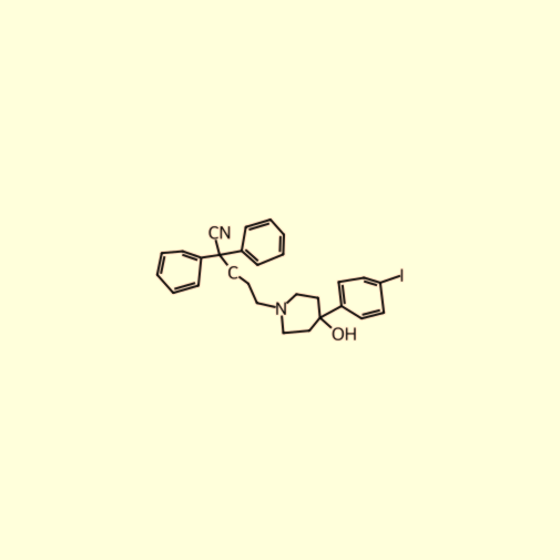 N#CC(CCCN1CCC(O)(c2ccc(I)cc2)CC1)(c1ccccc1)c1ccccc1